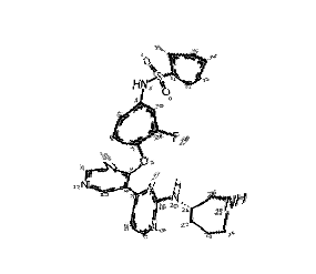 O=S(=O)(Nc1ccc(Oc2ncncc2-c2ccnc(N[C@H]3CCCNC3)n2)c(F)c1)c1ccccc1